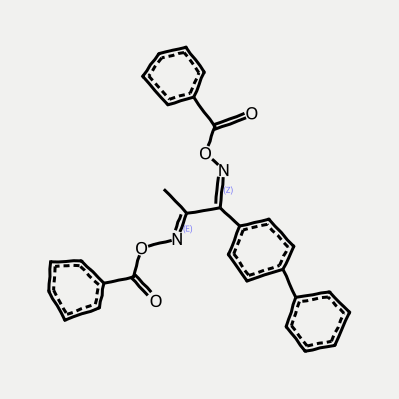 CC(=N\OC(=O)c1ccccc1)/C(=N\OC(=O)c1ccccc1)c1ccc(-c2ccccc2)cc1